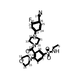 CCNS(=O)(=O)c1ccc(N2CCOCC2)c(C(=O)N2CCN(c3ccc(C#N)c(F)c3)CC2)c1